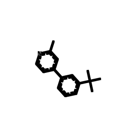 Cc1cc(-c2cccc(C(C)(C)C)c2)ccn1